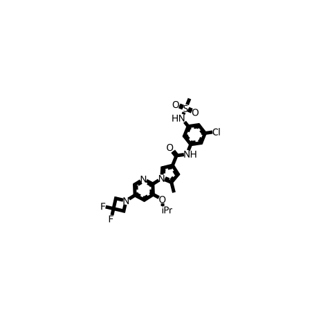 Cc1cc(C(=O)Nc2cc(Cl)cc(NS(C)(=O)=O)c2)cn1-c1ncc(N2CC(F)(F)C2)cc1OC(C)C